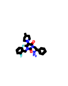 Cc1c(N2CCC(C)CC2)c(=O)n(C[C@@H](N)c2ccccc2)c(=O)n1Cc1c(F)cccc1F